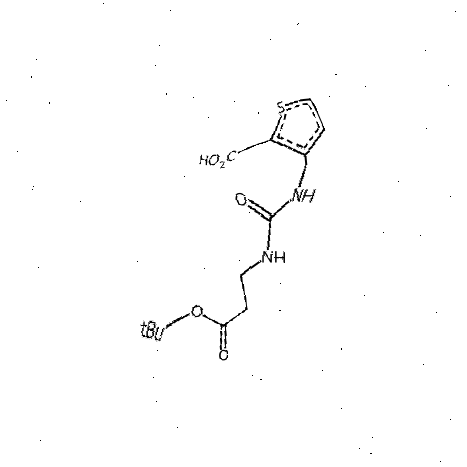 CC(C)(C)OC(=O)CCNC(=O)Nc1ccsc1C(=O)O